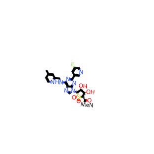 CNC(=O)[C@@H]1[C@@H](O)[C@@H](O)[C@H](n2cnc3c(NCc4cc(C)ccn4)nc(-c4cncc(F)c4)nc32)S1(=O)=O